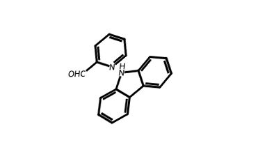 O=Cc1ccccn1.c1ccc2c(c1)[nH]c1ccccc12